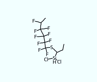 CCC(SC(F)(F)C(F)(F)C(F)(F)C(F)(F)C(C)F)[SiH](Cl)Cl